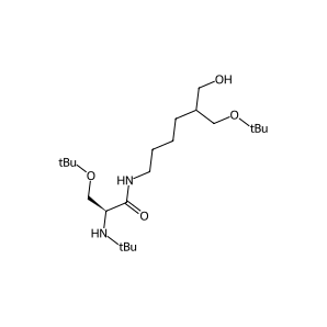 CC(C)(C)N[C@@H](COC(C)(C)C)C(=O)NCCCCC(CO)COC(C)(C)C